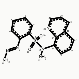 NN=Nc1ccccc1S(=O)(=O)N(N)c1cccc2cccnc12